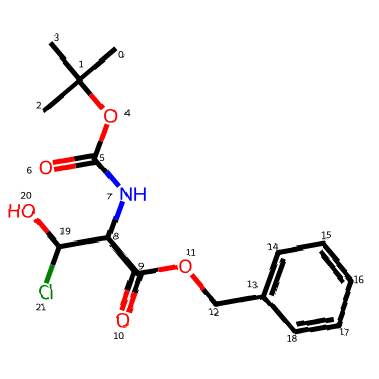 CC(C)(C)OC(=O)NC(C(=O)OCc1ccccc1)C(O)Cl